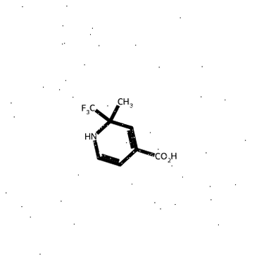 CC1(C(F)(F)F)C=C(C(=O)O)C=CN1